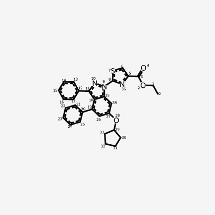 CCOC(=O)c1csc(-n2nc(-c3ccccc3)c3c(-c4ccccc4)cc(OC4CCCC4)cc32)n1